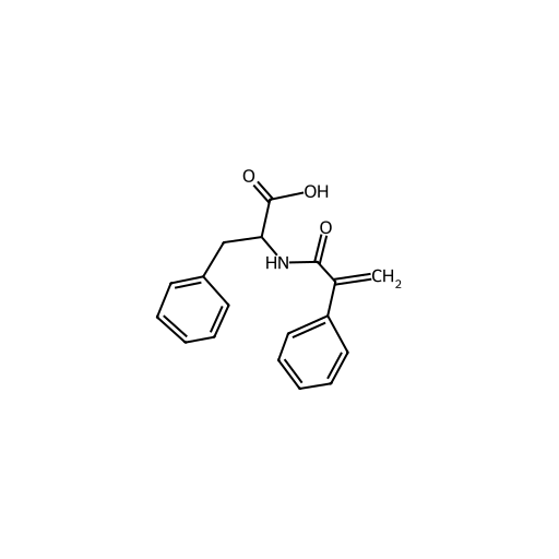 C=C(C(=O)NC(Cc1ccccc1)C(=O)O)c1ccccc1